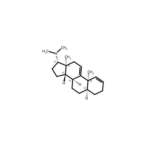 CN(C)[C@H]1CC[C@H]2[C@@H]3CC[C@@H]4CCC=C[C@]4(C)C3=CC[C@]12C